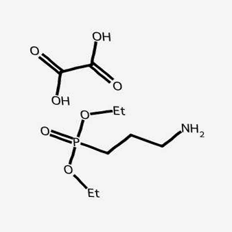 CCOP(=O)(CCCN)OCC.O=C(O)C(=O)O